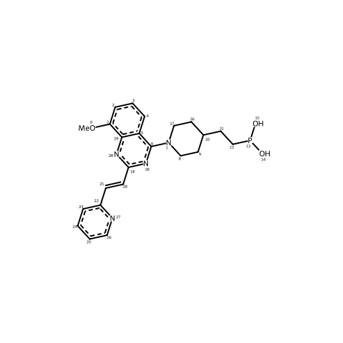 COc1cccc2c(N3CCC(CCP(O)O)CC3)nc(/C=C/c3ccccn3)nc12